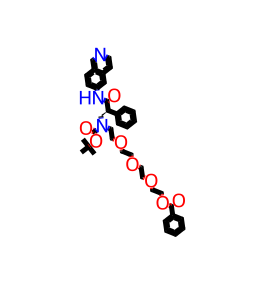 CC(C)(C)OC(=O)N(CCOCCOCCOCCOC(=O)c1ccccc1)C[C@H](C(=O)Nc1ccc2cnccc2c1)c1ccccc1